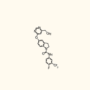 O=C(Nc1ccc(F)c(C(F)(F)F)c1)N1CCc2cc(Oc3cc(CO)ncn3)ccc21